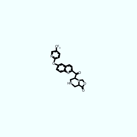 O=C1OCN2C1CNCC2C(=O)c1ccc2cc(Oc3ccc(C(F)(F)F)cn3)ccc2n1